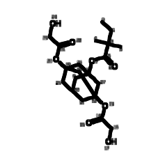 CCC(C)(C)C(=O)OC12CC3CC(OC(=O)CO)(CC(OC(=O)CO)(C3)C1)C2